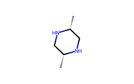 C[C@@H]1CN[C@H](C)CN1